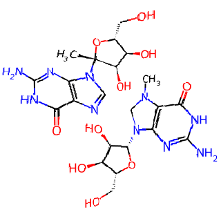 CN1CN([C@@H]2O[C@H](CO)[C@@H](O)[C@H]2O)c2nc(N)[nH]c(=O)c21.C[C@@]1(n2cnc3c(=O)[nH]c(N)nc32)O[C@H](CO)[C@@H](O)[C@H]1O